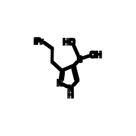 CC(C)CCc1n[nH]cc1B(O)O